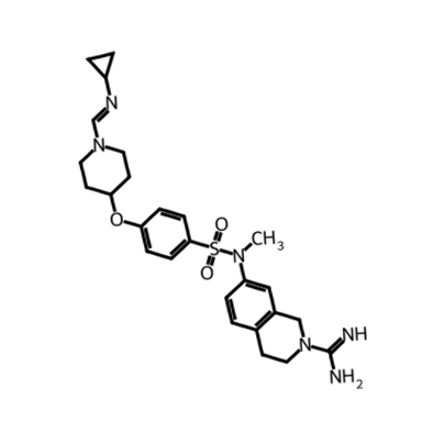 CN(c1ccc2c(c1)CN(C(=N)N)CC2)S(=O)(=O)c1ccc(OC2CCN(C=NC3CC3)CC2)cc1